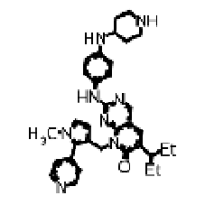 CCC(CC)c1cc2cnc(Nc3ccc(NC4CCNCC4)cc3)nc2n(Cc2ccn(C)c2-c2ccncc2)c1=O